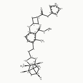 Cc1c(CCB2O[C@@H]3C[C@@H]4C[C@@H](C4(C)C)[C@]3(C)O2)ccc(OC2CN(C(=O)Cc3c[nH]nn3)C2)c1C(=O)OC(C)(C)C